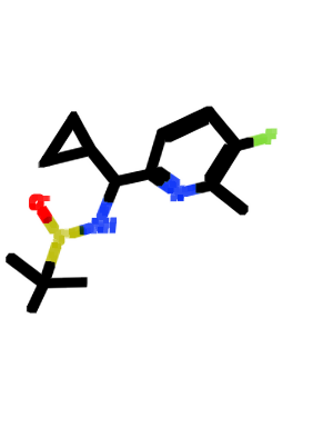 Cc1nc(C(N[S+]([O-])C(C)(C)C)C2CC2)ccc1F